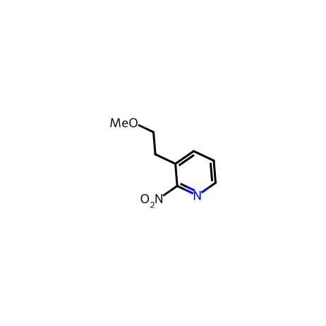 COCCc1cccnc1[N+](=O)[O-]